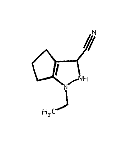 CCN1NC(C#N)C2=C1CCC2